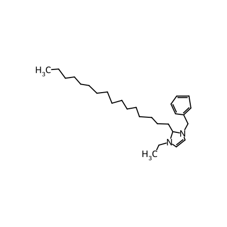 CCCCCCCCCCCCCCCCC1N(CC)C=CN1Cc1ccccc1